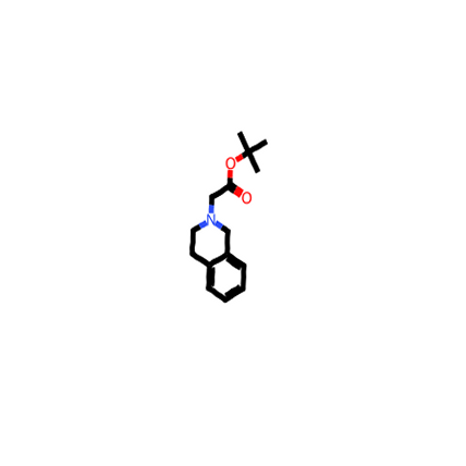 CC(C)(C)OC(=O)CN1CCc2ccccc2C1